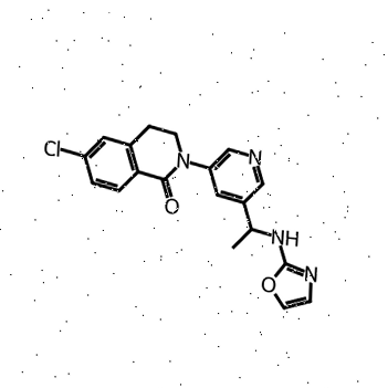 CC(Nc1ncco1)c1cncc(N2CCc3cc(Cl)ccc3C2=O)c1